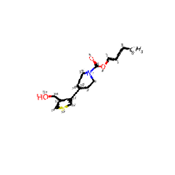 CCCCOC(=O)N1CCC(c2cscc2CO)CC1